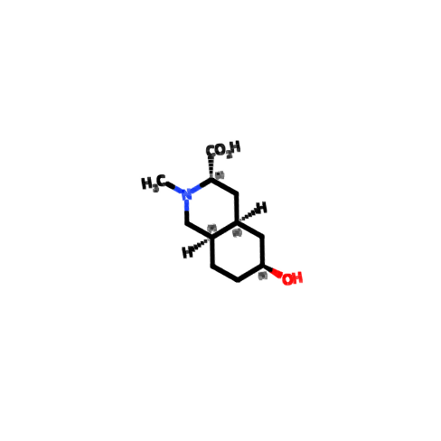 CN1C[C@@H]2CC[C@H](O)C[C@@H]2C[C@H]1C(=O)O